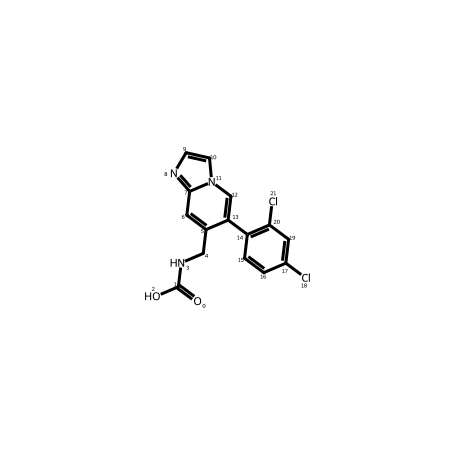 O=C(O)NCc1cc2nccn2cc1-c1ccc(Cl)cc1Cl